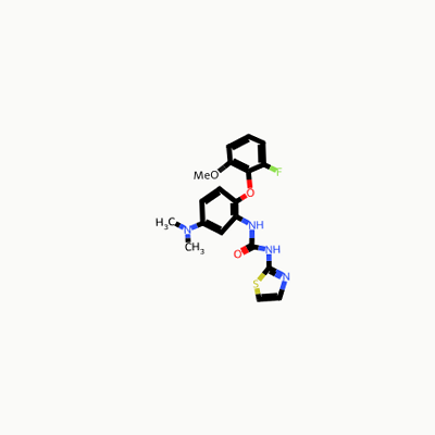 COc1cccc(F)c1Oc1ccc(N(C)C)cc1NC(=O)Nc1nccs1